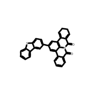 O=c1c2c(c3cc(-c4ccc5sc6ccccc6c5c4)cc4c5ccccc5c(=O)n1c34)=CCCC=2